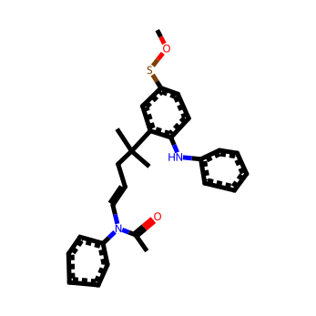 COSc1ccc(Nc2ccccc2)c(C(C)(C)C/C=C/N(C(C)=O)c2ccccc2)c1